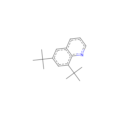 CC(C)(C)c1cc(C(C)(C)C)c2ncccc2c1